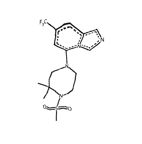 CC1(C)CN(c2cc(C(F)(F)F)cc3cncn23)CCN1S(C)(=O)=O